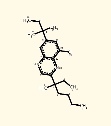 CCCCC(C)(CC)c1cnc2cc(C(C)(C)CC)cc(Cl)c2n1